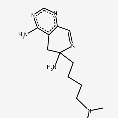 CN(C)CCCCC1(N)Cc2c(N)ncnc2C=N1